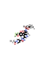 CC(=O)N1CCC(c2nc(-c3cncc([C@@](O)(c4ccc(OC(F)(F)F)cc4)C4(C)CN(C(=O)OC(C)(C)C)C4)c3)no2)CC1